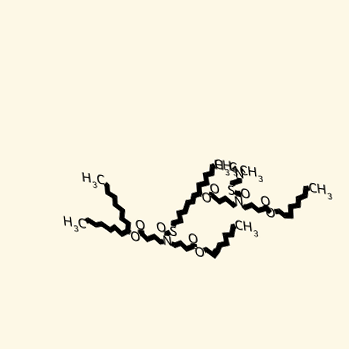 CCCCCC/C=C\COC(=O)CCCN(CCCC(=O)OC(CCCCCCC)CCCCCCCC)C(=O)SCCCCCCCC(CCCCCC)OC(=O)CCCN(CCCC(=O)OC/C=C\CCCCCC)C(=O)SCCN(C)C